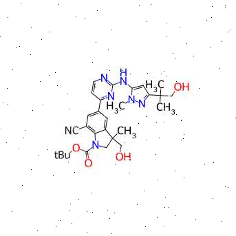 Cn1nc(C(C)(C)CO)cc1Nc1nccc(-c2cc(C#N)c3c(c2)C(C)(CO)CN3C(=O)OC(C)(C)C)n1